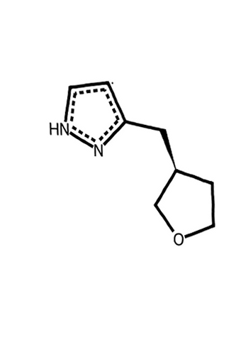 [c]1c[nH]nc1C[C@H]1CCOC1